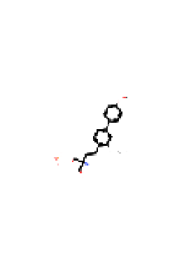 CCCCCCOc1ccc(-c2ccc(CCC(N)(CO)COP(=O)(O)O)c(OC)c2)cc1